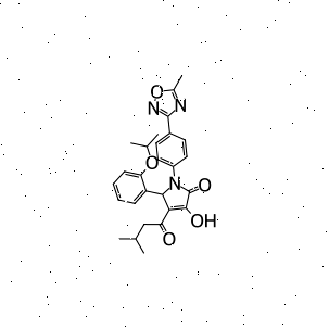 Cc1nc(-c2ccc(N3C(=O)C(O)=C(C(=O)CC(C)C)C3c3ccccc3OC(C)C)cc2)no1